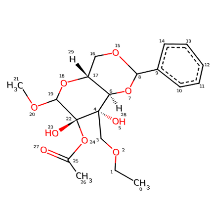 CCOC[C@]1(O)[C@@H]2OC(c3ccccc3)OC[C@H]2OC(OC)[C@@]1(O)OC(C)=O